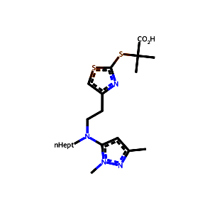 CCCCCCCN(CCc1csc(SC(C)(C)C(=O)O)n1)c1cc(C)nn1C